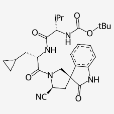 CC(C)[C@H](NC(=O)OC(C)(C)C)C(=O)N[C@@H](CC1CC1)C(=O)N1C[C@]2(C[C@H]1C#N)C(=O)Nc1ccccc12